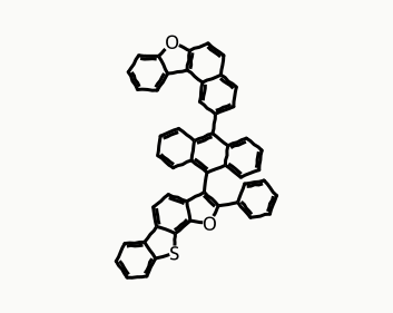 c1ccc(-c2oc3c(ccc4c5ccccc5sc43)c2-c2c3ccccc3c(-c3ccc4ccc5oc6ccccc6c5c4c3)c3ccccc23)cc1